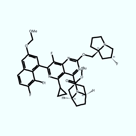 CCc1c(F)ccc2cc(OCOC)cc(-c3nc(C4CC4)c4c(N5C[C@H]6CC[C@@H](C5)N6C(=O)OC(C)(C)C)nc(OC[C@@]56CCCN5C[C@H](F)C6)nc4c3F)c12